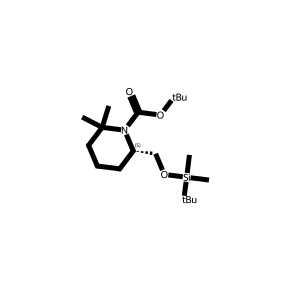 CC(C)(C)OC(=O)N1[C@H](CO[Si](C)(C)C(C)(C)C)CCCC1(C)C